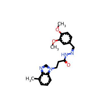 COc1ccc(/C=N\NC(=O)CCn2cnc3c(C)cccc32)cc1OC